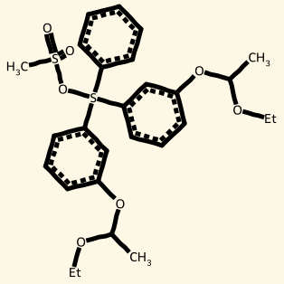 CCOC(C)Oc1cccc(S(OS(C)(=O)=O)(c2ccccc2)c2cccc(OC(C)OCC)c2)c1